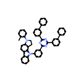 Cc1ccccc1N1CCc2c1ccc1c3ccccc3n(-c3cccc(-c4nc(-c5cccc(-c6ccccc6)c5)nc(-c5cccc(-c6ccccc6)c5)n4)c3)c21